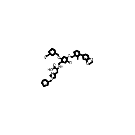 Cc1c(COc2cc(OCc3cccc(C#N)c3)c(CNC(Cc3cn(Cc4ccccc4)cn3)C(=O)O)cc2Cl)cccc1-c1ccc2c(c1)OCCO2